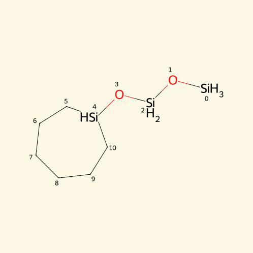 [SiH3]O[SiH2]O[SiH]1CCCCCC1